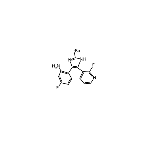 CC(C)(C)c1nc(-c2ccc(F)cc2N)c(-c2cccnc2F)[nH]1